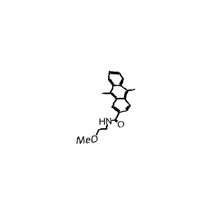 COCCNC(=O)c1ccc2c(C)c3ccccc3c(C)c2c1